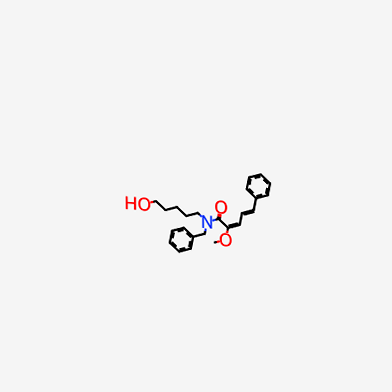 CO/C(=C/C=C/c1ccccc1)C(=O)N(CCCCCO)Cc1ccccc1